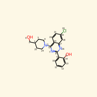 OCC1CCN(c2nc(-c3ccccc3O)nc3cc(Cl)ccc23)CC1